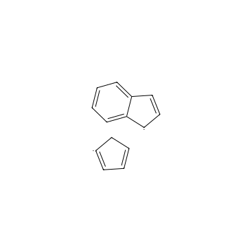 [CH]1C=Cc2ccccc21.[C]1=CC=CC1